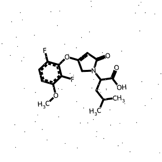 COc1ccc(F)c(OC2=CC(=O)N(C(CC(C)C)C(=O)O)C2)c1F